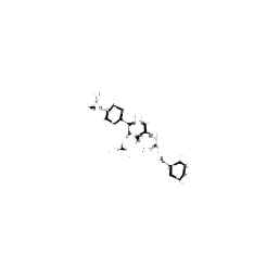 CC(=O)On1c(-c2ccc([N+](=O)[O-])cc2)ncc(NC(=O)OCc2ccccc2)c1=O